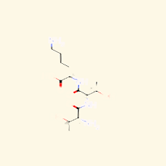 C[C@@H](O)[C@H](N)C(=O)N[C@H](C(=O)N[C@@H](CCCCN)C(=O)O)[C@@H](C)O